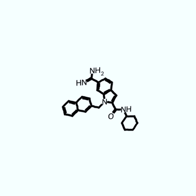 N=C(N)c1ccc2cc(C(=O)NC3CCCCC3)n(Cc3ccc4ccccc4c3)c2c1